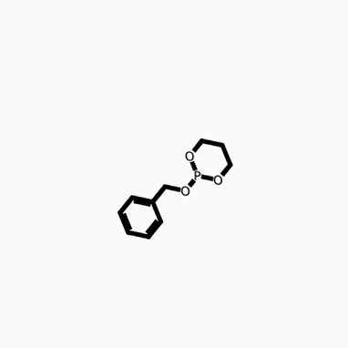 c1ccc(COP2OCCCO2)cc1